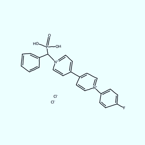 O=P(O)(O)C(c1ccccc1)[n+]1ccc(-c2cc[n+](-c3ccc(F)cc3)cc2)cc1.[Cl-].[Cl-]